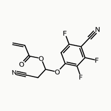 C=CC(=O)OC(CC#N)Oc1cc(F)c(C#N)c(F)c1F